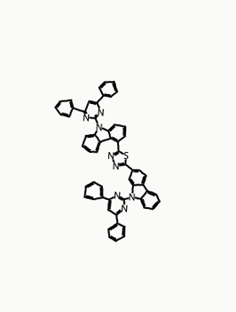 c1ccc(-c2cc(-c3ccccc3)nc(-n3c4ccccc4c4ccc(-c5nnc(-c6cccc7c6c6ccccc6n7-c6nc(-c7ccccc7)cc(-c7ccccc7)n6)s5)cc43)n2)cc1